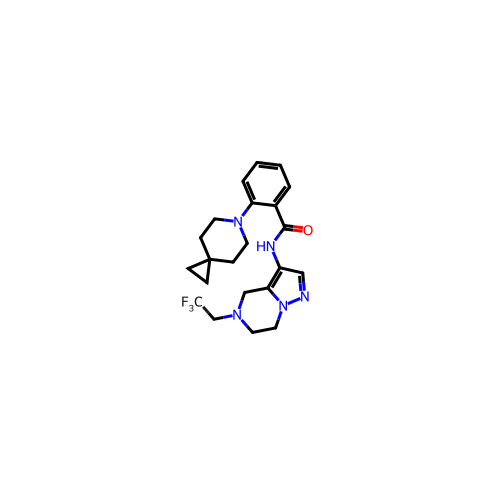 O=C(Nc1cnn2c1CN(CC(F)(F)F)CC2)c1ccccc1N1CCC2(CC1)CC2